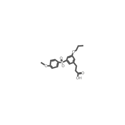 CCCOc1cc(CCC(=O)O)cc(S(=O)(=O)c2ccc(OC)cc2)c1